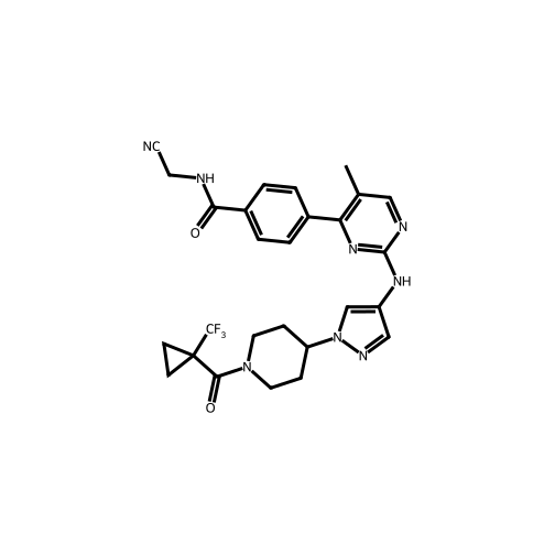 Cc1cnc(Nc2cnn(C3CCN(C(=O)C4(C(F)(F)F)CC4)CC3)c2)nc1-c1ccc(C(=O)NCC#N)cc1